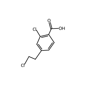 O=C(O)c1ccc(CCCl)cc1Cl